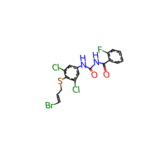 O=C(NC(=O)c1ccccc1F)Nc1cc(Cl)c(SCC=CBr)c(Cl)c1